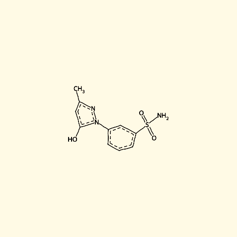 Cc1cc(O)n(-c2cccc(S(N)(=O)=O)c2)n1